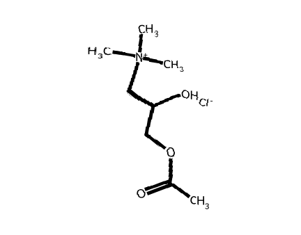 CC(=O)OCC(O)C[N+](C)(C)C.[Cl-]